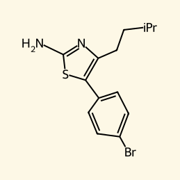 CC(C)CCc1nc(N)sc1-c1ccc(Br)cc1